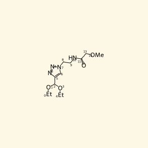 CCOC(OCC)c1cn(CCNC(=O)COC)nn1